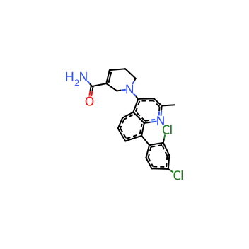 Cc1cc(N2CCC=C(C(N)=O)C2)c2cccc(-c3ccc(Cl)cc3Cl)c2n1